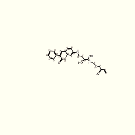 C=CC(=O)COCCC(O)C(O)CCOC1=CC2OC(=O)C(c3ccccc3)=CC2C=C1